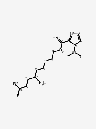 CN(C)n1ccnc1C(=N)OCCOCCC(N)CCC(F)F